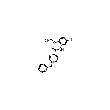 O=C(Nc1cc(Cl)ccc1OCCl)c1cc[n+](Cc2ccccc2)cc1